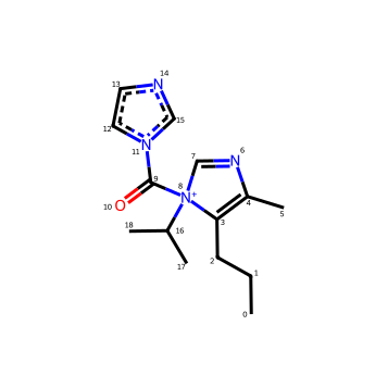 CCCC1=C(C)N=C[N+]1(C(=O)n1ccnc1)C(C)C